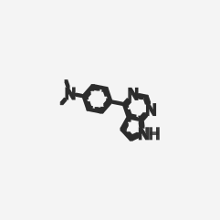 CN(C)c1ccc(-c2ncnc3[nH]ccc23)cc1